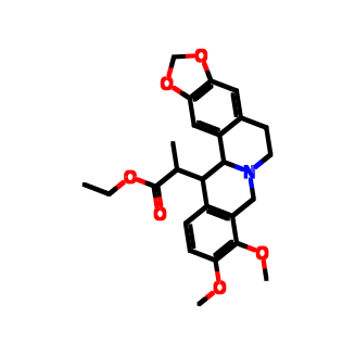 CCOC(=O)C(C)C1c2ccc(OC)c(OC)c2CN2CCc3cc4c(cc3C12)OCO4